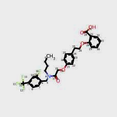 CCCCN(Cc1ccc(C(F)(F)F)cc1F)C(=O)COc1ccc(CCOc2ccccc2C(=O)O)cc1